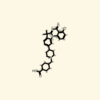 CC1(C)c2ccc(C3CCN(CC4CCC(C(=O)O)CC4)CC3)cc2-n2c1nc(=O)c1c(Cl)cccc12